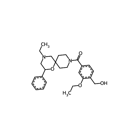 CCOc1cc(C(=O)N2CCC3(CC2)CN(CC)CC(c2ccccc2)O3)ccc1CO